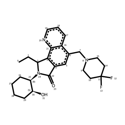 CCC1c2c(cc(CN3CCC(F)(F)CC3)c3cccnc23)C(=O)N1[C@@H]1CCCC[C@@H]1O